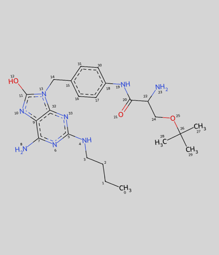 CCCCNc1nc(N)c2nc(O)n(Cc3ccc(NC(=O)C(N)COC(C)(C)C)cc3)c2n1